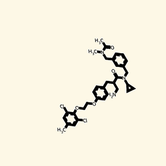 CC(=O)N(C)Cc1cccc(CN(C(=O)C(CN)Cc2ccc(OCCOc3c(Cl)cc(C)cc3Cl)cc2)C2CC2)c1